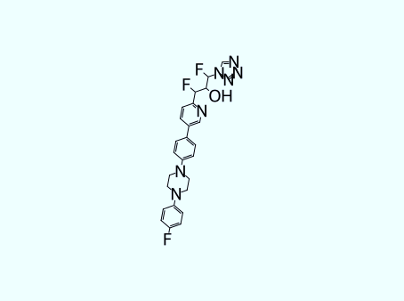 OC(C(F)c1ccc(-c2ccc(N3CCN(c4ccc(F)cc4)CC3)cc2)cn1)C(F)n1cnnn1